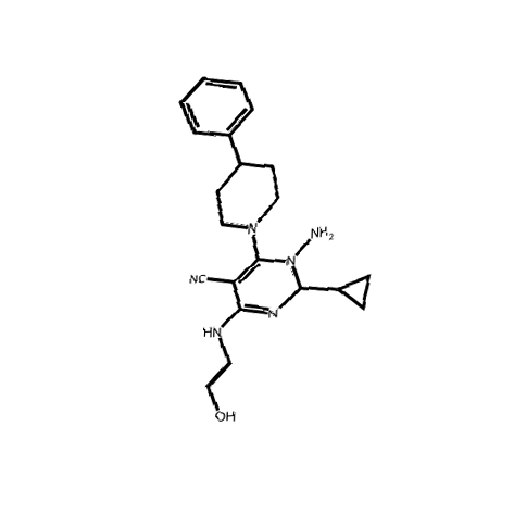 N#CC1=C(N2CCC(c3ccccc3)CC2)N(N)C(C2CC2)N=C1NCCO